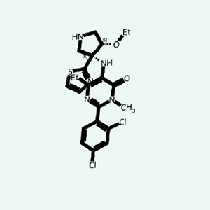 CCO[C@H]1CNC[C@]1(Nc1c(CC)nc(-c2ccc(Cl)cc2Cl)n(C)c1=O)c1nccs1